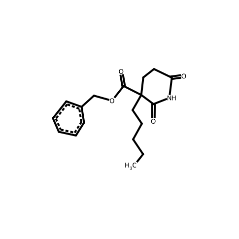 CCCCCC1(C(=O)OCc2ccccc2)CCC(=O)NC1=O